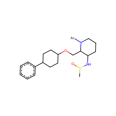 CC(=O)N1CCCC(N[S+](C)[O-])C1COC1CCC(c2ccccc2)CC1